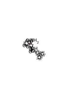 NC1CCC23c4c5ccc(OP(=O)(O)OCC6CCC(c7ccccc7)(c7ccccc7)CC6)c4OC2C(=O)CCC3(O)C1C5